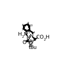 CC(C)C(C(=O)O)N(Cc1ccccc1)N(N)C(=O)OC(C)(C)C